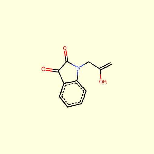 C=C(O)CN1C(=O)C(=O)c2ccccc21